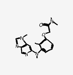 Cc1c(OCC(=O)N(C)C)cccc1N(C)c1cc2c(cn1)ncn2C